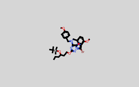 CCCC(CCOc1nc(N(Cc2ccc(OC)cc2)Cc2ccc(OC)cc2)c2ncc(Br)n2n1)O[Si](C)(C)C(C)(C)C